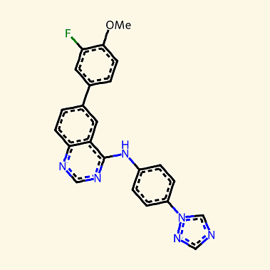 COc1ccc(-c2ccc3ncnc(Nc4ccc(-n5cncn5)cc4)c3c2)cc1F